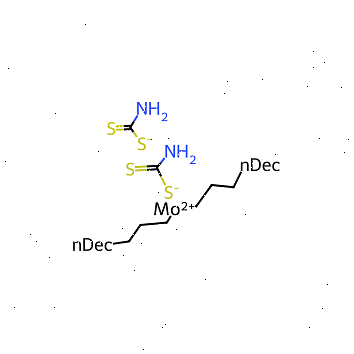 CCCCCCCCCCCC[CH2][Mo+2][CH2]CCCCCCCCCCCC.NC(=S)[S-].NC(=S)[S-]